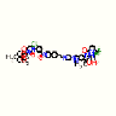 CC(C)(C)C(=O)OCN1C(=O)CCN(c2cc(C(=O)N3CCC4(CCC(CCN5CCC(n6cc7cc(NC(=O)c8cccc(C(F)(F)F)n8)c(C(C)(C)O)cc7n6)CC5)CC4)CC3)ccc2Cl)C1=O